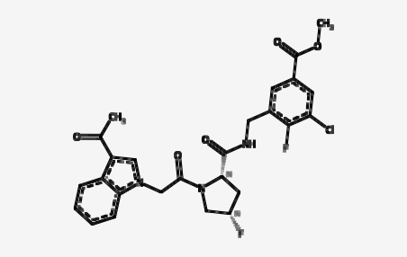 COC(=O)c1cc(Cl)c(F)c(CNC(=O)[C@@H]2C[C@H](F)CN2C(=O)Cn2cc(C(C)=O)c3ccccc32)c1